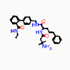 CCNC(=O)c1ccccc1-c1ccc(CNC(=O)C(CCCc2ccccc2)NC(=O)CC(C)(C)N)cc1